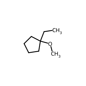 CCC1(OC)CCCC1